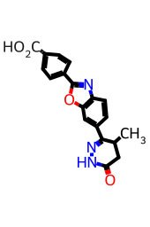 CC1CC(=O)NN=C1c1ccc2nc(-c3ccc(C(=O)O)cc3)oc2c1